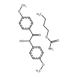 CCCCOC(N)=O.COc1ccc(C(=O)C(O)c2ccc(OC)cc2)cc1